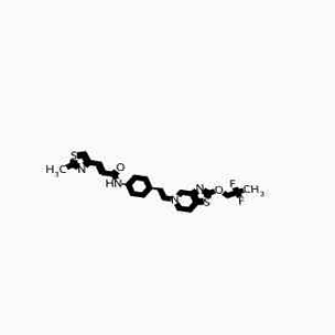 Cc1nc(/C=C/C(=O)N[C@H]2CC[C@H](CCN3CCc4sc(OCC(C)(F)F)nc4C3)CC2)cs1